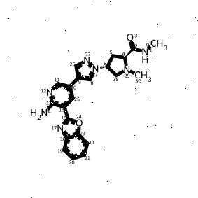 CNC(=O)[C@@H]1C[C@@H](n2cc(-c3cnc(N)c(-c4nc5ccccc5o4)c3)cn2)CN1C